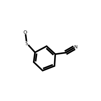 N#Cc1cccc(S[O])c1